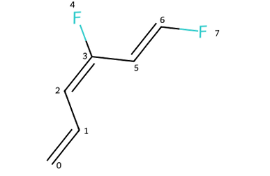 C=C/C=C(F)\C=C\F